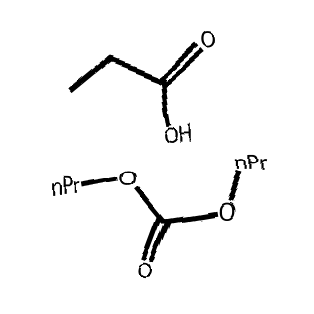 CCC(=O)O.CCCOC(=O)OCCC